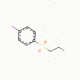 O=S(=O)(CCCl)c1ccc(I)cc1